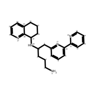 NCCCC(Cc1cccc(-c2ccccn2)n1)NC1CCCc2cccnc21